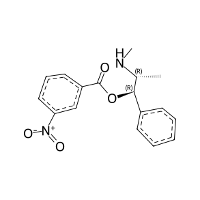 CN[C@H](C)[C@H](OC(=O)c1cccc([N+](=O)[O-])c1)c1ccccc1